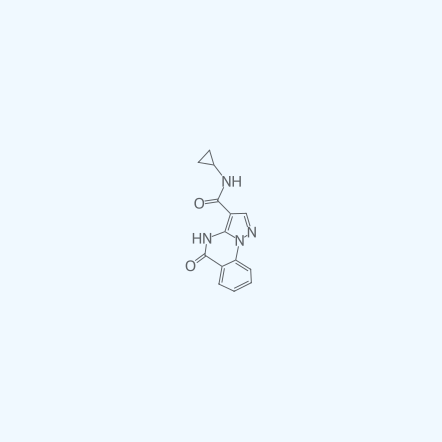 O=C(NC1CC1)c1cnn2c1[nH]c(=O)c1ccccc12